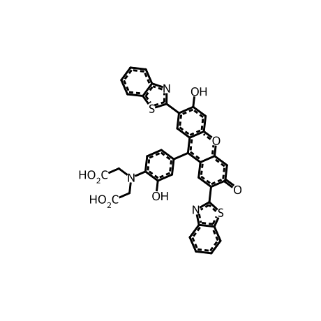 O=C(O)CN(CC(=O)O)c1ccc(-c2c3cc(-c4nc5ccccc5s4)c(=O)cc-3oc3cc(O)c(-c4nc5ccccc5s4)cc23)cc1O